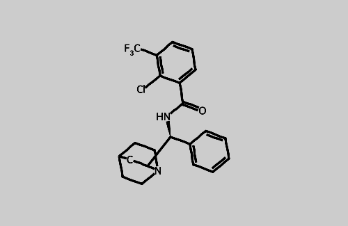 O=C(N[C@@H](c1ccccc1)C1CC2CCN1CC2)c1cccc(C(F)(F)F)c1Cl